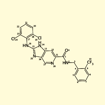 O=C(NCc1ccccc1C(F)(F)F)c1cc2[nH]c(Nc3c(Cl)cccc3Cl)nc2cn1